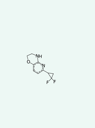 FC1(F)CC1c1ccc2c(n1)NCCO2